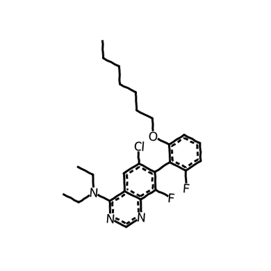 CCCCCCCOc1cccc(F)c1-c1c(Cl)cc2c(N(CC)CC)ncnc2c1F